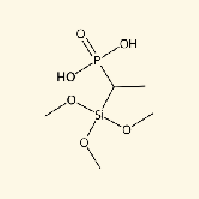 CO[Si](OC)(OC)C(C)P(=O)(O)O